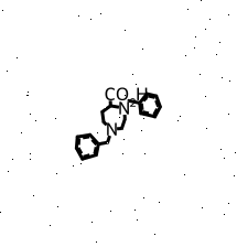 O=C(O)C1CCN(Cc2ccccc2)CCN1Cc1ccccc1